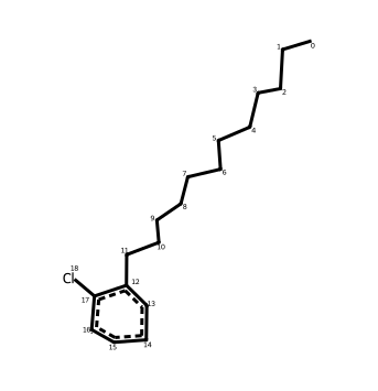 CCCCCCCCCCCCc1ccc[c]c1Cl